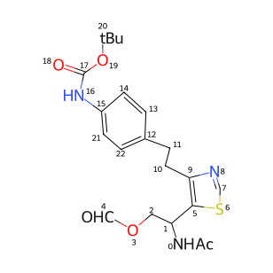 CC(=O)NC(COC=O)c1scnc1CCc1ccc(NC(=O)OC(C)(C)C)cc1